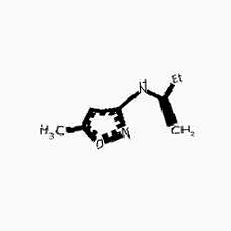 C=C(CC)Nc1cc(C)on1